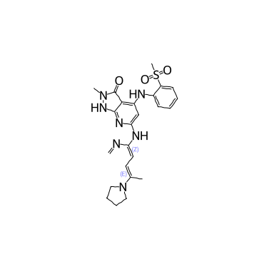 C=N/C(=C\C=C(/C)N1CCCC1)Nc1cc(Nc2ccccc2S(C)(=O)=O)c2c(=O)n(C)[nH]c2n1